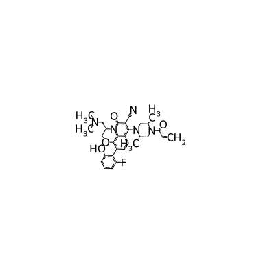 C=CC(=O)N1C[C@H](C)N(c2c(C#N)c(=O)n3c4c(c(-c5c(O)cccc5F)ccc24)OC[C@H]3CN(C)C)C[C@H]1C